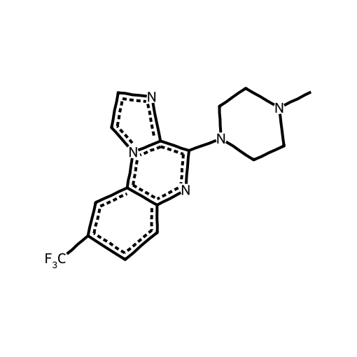 CN1CCN(c2nc3ccc(C(F)(F)F)cc3n3ccnc23)CC1